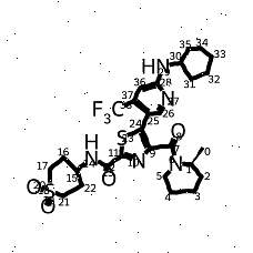 C[C@H]1CCCCN1C(=O)c1nc(C(=O)NC2CCS(=O)(=O)CC2)sc1-c1cnc(NC2CCCCC2)cc1C(F)(F)F